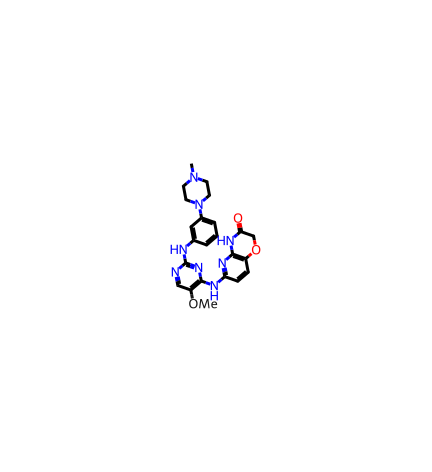 COc1cnc(Nc2cccc(N3CCN(C)CC3)c2)nc1Nc1ccc2c(n1)NC(=O)CO2